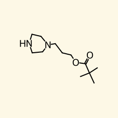 CC(C)(C)C(=O)OCCCN1CCNCC1